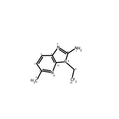 Cc1ccc2nc(N)n(CC(F)(F)F)c2n1